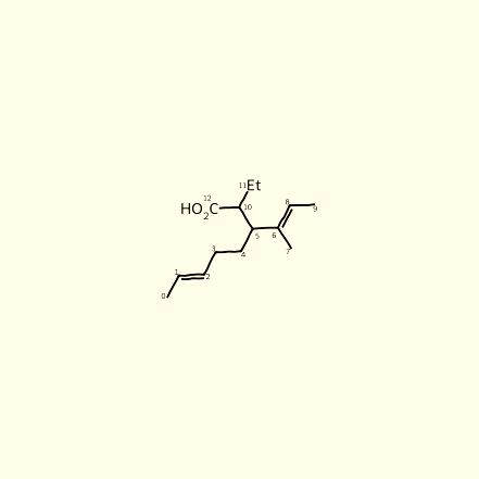 C/C=C/CCC(/C(C)=C/C)C(CC)C(=O)O